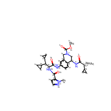 CC(=O)N[C@@H](C(=O)NC1CN(C(=O)OC(C)(C)C)Cc2cc(NC(=O)[C@@H](NC(=O)c3ccnn3C(C)C)C(C3CC3)C3CC3)ccc21)C1CC1